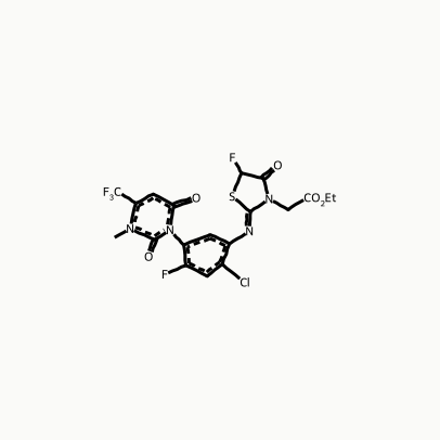 CCOC(=O)CN1C(=O)C(F)S/C1=N\c1cc(-n2c(=O)cc(C(F)(F)F)n(C)c2=O)c(F)cc1Cl